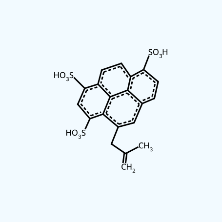 C=C(C)Cc1cc2ccc(S(=O)(=O)O)c3ccc4c(S(=O)(=O)O)cc(S(=O)(=O)O)c1c4c23